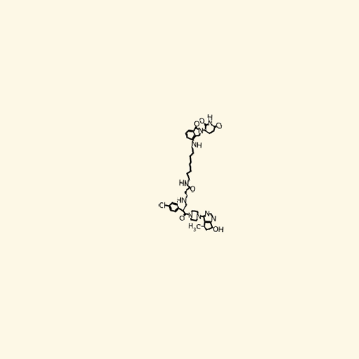 C[C@@H]1C[C@@H](O)c2ncnc(N3CCN(C(=O)[C@H](CNCCC(=O)NCCCCCCCCNc4cccc5c4CN(C4CCC(=O)NC4=O)C5=O)c4ccc(Cl)cc4)CC3)c21